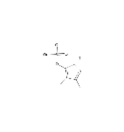 CC1=CCC(OS(=O)(=O)C(C)(C)C)=C1C.[Ti]